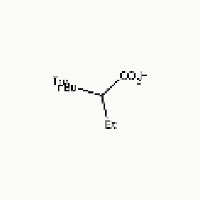 CCCCC(CC)C(=O)O.[Tm]